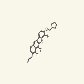 CCCc1ccc2cc3c(sc4c(F)c(OCC5CCCC5)ccc43)c(F)c2c1F